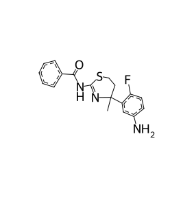 CC1(c2cc(N)ccc2F)CCSC(NC(=O)c2ccccc2)=N1